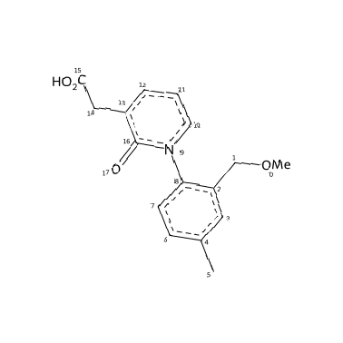 COCc1cc(C)ccc1-n1cccc(CC(=O)O)c1=O